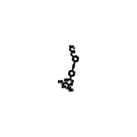 C[C@@H](O)[C@H](NC(=O)c1ccc(C#Cc2cccc(CNCN)c2)cc1)C(=O)NO